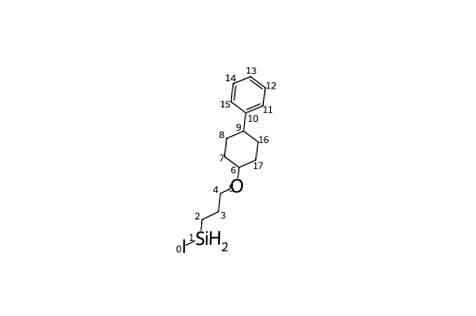 I[SiH2]CCCOC1CCC(c2ccccc2)CC1